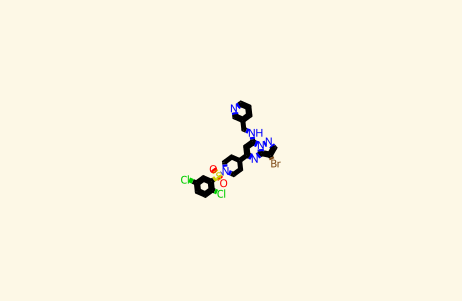 O=S(=O)(c1cc(Cl)ccc1Cl)N1CCC(c2cc(NCc3cccnc3)n3ncc(Br)c3n2)CC1